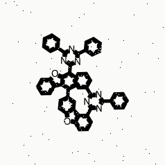 c1ccc(-c2nc(-c3ccccc3)nc(-c3ccc(-c4ccc5oc6cccc(-c7nc(-c8ccccc8)nc(-c8ccccc8)n7)c6c5c4)c4c3oc3ccccc34)n2)cc1